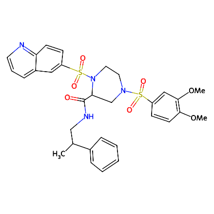 COc1ccc(S(=O)(=O)N2CCN(S(=O)(=O)c3ccc4ncccc4c3)C(C(=O)NCC(C)c3ccccc3)C2)cc1OC